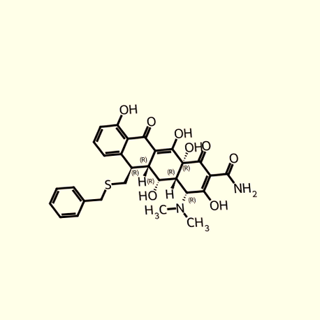 CN(C)[C@H]1C(O)=C(C(N)=O)C(=O)[C@]2(O)C(O)=C3C(=O)c4c(O)cccc4[C@H](CSCc4ccccc4)[C@H]3[C@@H](O)[C@@H]12